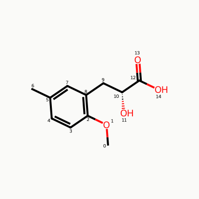 COc1ccc(C)cc1C[C@@H](O)C(=O)O